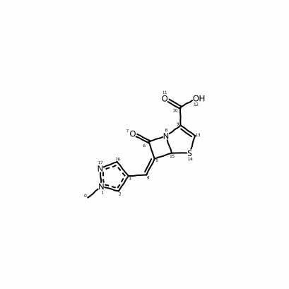 Cn1cc(/C=C2\C(=O)N3C(C(=O)O)=CSC23)cn1